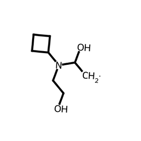 [CH2]C(O)N(CCO)C1CCC1